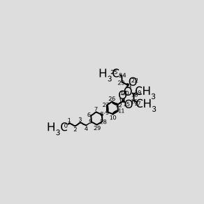 CCCCC[C@H]1CC[C@H](c2ccc(C(=O)OC(C)C(C)OC(=O)CCC)cc2)CC1